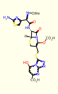 CO/N=C(\C(=O)N[C@@H]1C(=O)N2C(OC(=O)O)=C(CSc3nnc4nc(C(=O)O)cc(O)n34)CS[C@H]12)c1csc(N)n1